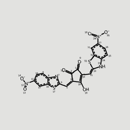 O=C1C(=O)/C(=C\c2nc3ccc([N+](=O)[O-])cc3s2)C(O)=C1/C=C1/Nc2ccc([N+](=O)[O-])cc2S1